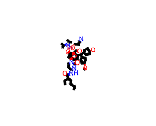 CCCCC(CC)C(=O)Nc1ccn(C2CC(OP(OCCC#N)N(C(C)C)C(C)C)C(COC(c3ccccc3)(c3ccc(OC)cc3)c3ccc(OC)cc3)O2)c(=O)n1